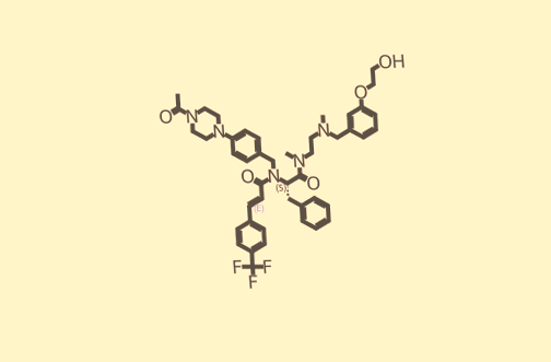 CC(=O)N1CCN(c2ccc(CN(C(=O)/C=C/c3ccc(C(F)(F)F)cc3)[C@@H](Cc3ccccc3)C(=O)N(C)CCN(C)Cc3cccc(OCCO)c3)cc2)CC1